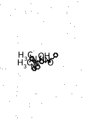 Cc1cnc(CN(Cc2ccc(CNC(=O)CCc3ccccc3)cc2CO)[C@H]2CCCc3cccnc32)c(C)c1